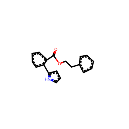 O=C(OCCc1ccccc1)c1ccccc1-c1ccc[nH]1